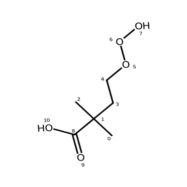 CC(C)(CCOOO)C(=O)O